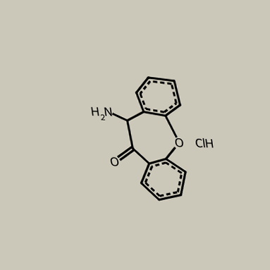 Cl.NC1C(=O)c2ccccc2Oc2ccccc21